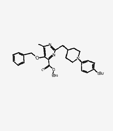 Cc1nc(CC2CCN(c3ccc(C(C)(C)C)cc3)CC2)nc(C(=O)OC(C)(C)C)c1OCc1ccccc1